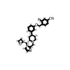 N#Cc1ccc(COc2cccc(C3CCN(Cc4nccn4C[C@@H]4CCO4)CC3)c2)c(F)c1